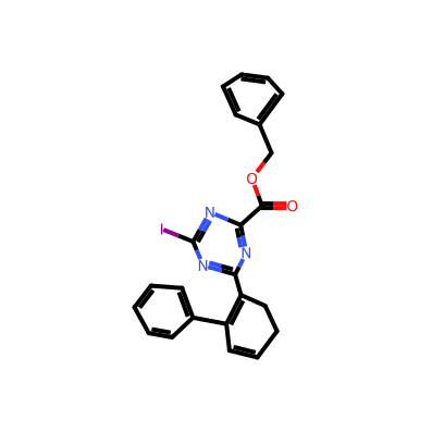 O=C(OCc1ccccc1)c1nc(I)nc(C2=C(c3ccccc3)C=CCC2)n1